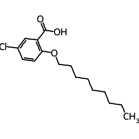 CCCCCCCCCOc1ccc(Cl)cc1C(=O)O